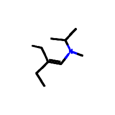 CCC(=CN(C)C(C)C)CC